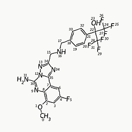 COc1cc(F)cc2c1nc(N)n1nc(CNCc3ccc(C(O)(C(F)(F)F)C(F)(F)F)cc3)nc21